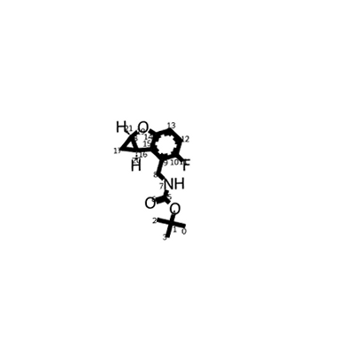 CC(C)(C)OC(=O)NCc1c(F)ccc2c1[C@H]1C[C@H]1O2